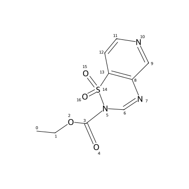 CCOC(=O)N1C=Nc2cnccc2S1(=O)=O